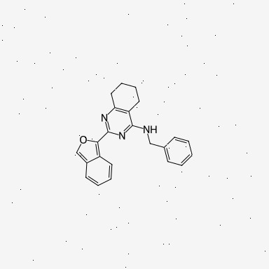 c1ccc(CNc2nc(-c3occ4ccccc34)nc3c2CCCC3)cc1